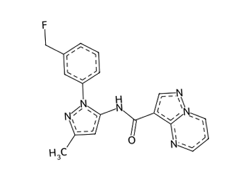 Cc1cc(NC(=O)c2cnn3cccnc23)n(-c2cccc(CF)c2)n1